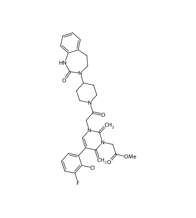 C=C1C(c2cccc(F)c2Cl)=CN(CC(=O)N2CCC(N3CCc4ccccc4NC3=O)CC2)C(=C)N1CC(=O)OC